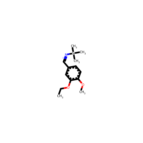 CCOc1cc(/C=N\[Si](C)(C)C)ccc1OC